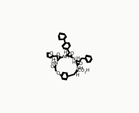 O=C1COc2ccc(cc2)C[C@@H](C(=O)O)NC(=O)[C@H](CCc2ccccc2)NC(=O)[C@@H](Cc2ccc(-c3ccccc3)cc2)NC(=O)[C@H](Cc2ccco2)N1